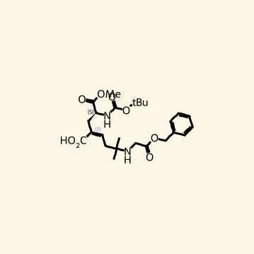 COC(=O)[C@H](C/C(=C/CC(C)(C)NCC(=O)OCc1ccccc1)C(=O)O)NC(=O)OC(C)(C)C